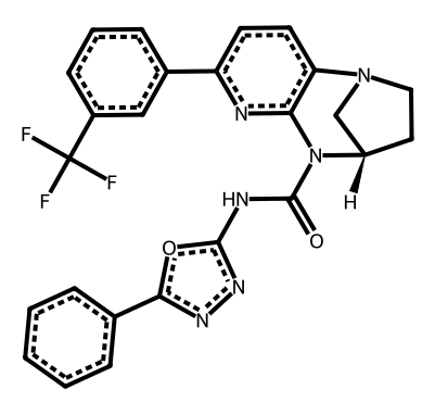 O=C(Nc1nnc(-c2ccccc2)o1)N1c2nc(-c3cccc(C(F)(F)F)c3)ccc2N2CC[C@H]1C2